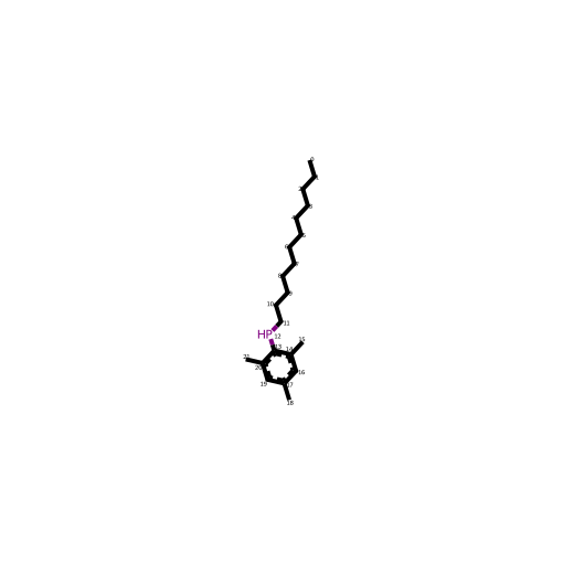 CCCCCCCCCCCCPc1c(C)cc(C)cc1C